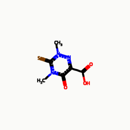 Cn1nc(C(=O)O)c(=O)n(C)c1=S